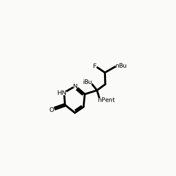 CCCCCC(CC(F)CCCC)(c1ccc(=O)[nH]n1)C(C)CC